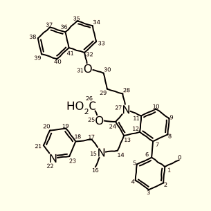 Cc1ccccc1-c1cccc2c1c(CN(C)Cc1cccnc1)c(OC(=O)O)n2CCCOc1cccc2ccccc12